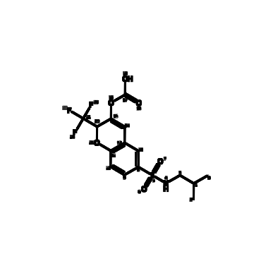 CC(C)CNS(=O)(=O)c1ccc2c(c1)C=C(OC(=O)O)C(C(F)(F)F)O2